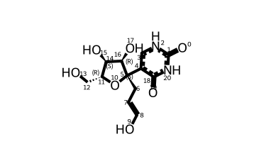 O=c1[nH]cc([C@]2(CC=CO)O[C@H](CO)[C@@H](O)[C@H]2O)c(=O)[nH]1